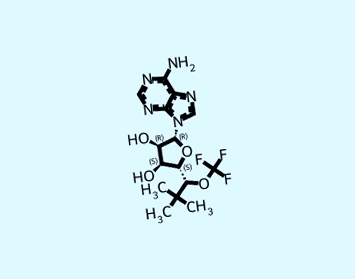 CC(C)(C)C(OC(F)(F)F)[C@H]1O[C@@H](n2cnc3c(N)ncnc32)[C@H](O)[C@@H]1O